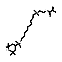 C=C(C)C(=O)OCC[N+](C)(C)CCCCCCCCCC[N+](C)(C)C1CC(C)(C)NC(C)(C)C1